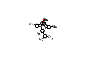 CC(C)(C)c1ccc2c(c1)c1cc(C(C)(C)C)ccc1n2-c1cc(C#N)c(-c2cc(C#N)cc(C(F)(F)F)c2)cc1-n1c2ccc(C(C)(C)C)cc2c2cc(C(C)(C)C)ccc21